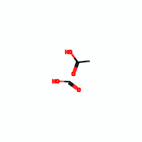 O=CO.[CH2]C(=O)O